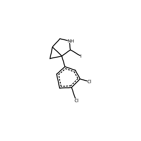 Clc1ccc(C23CC2CNC3I)cc1Cl